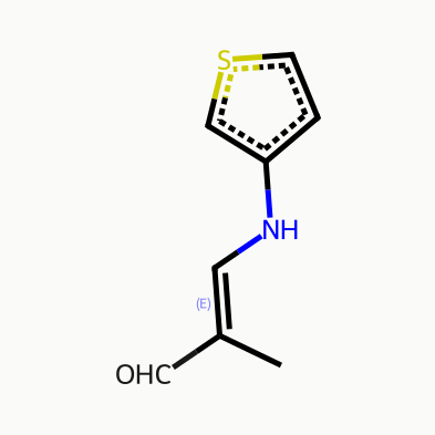 C/C(C=O)=C\Nc1ccsc1